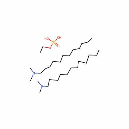 CCCCCCCCCCCCN(C)C.CCCCCCCCCCCCN(C)C.CCOP(=O)(O)O